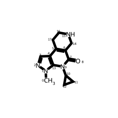 Cn1ncc2c3c(c(=O)n(C4CC4)c21)CNCC3